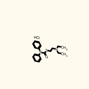 CCN(CC)CCSC(=O)N(c1ccccc1)c1ccccc1.Cl